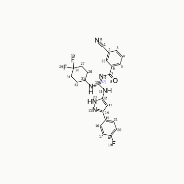 N#Cc1cccc(C(=O)/N=C(\Nc2cc(-c3ccc(F)cc3)n[nH]2)NC2CCC(F)(F)CC2)c1